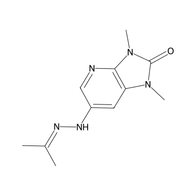 CC(C)=NNc1cnc2c(c1)n(C)c(=O)n2C